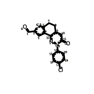 O=Cc1cc2c(s1)CCc1cc(=O)n(-c3ccc(Cl)cc3)nc1-2